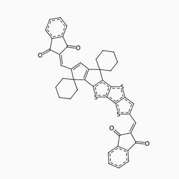 O=C1C(=CC2=CC3=C(c4sc5c(sc6cc(C=C7C(=O)c8ccccc8C7=O)sc65)c4C34CCCCC4)C23CCCCC3)C(=O)c2ccccc21